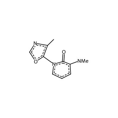 CNc1cccn(-c2ocnc2C)c1=O